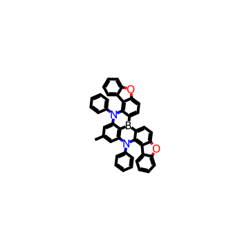 Cc1cc2c3c(c1)N(c1ccccc1)c1c(ccc4oc5ccccc5c14)B3c1ccc3oc4ccccc4c3c1N2c1ccccc1